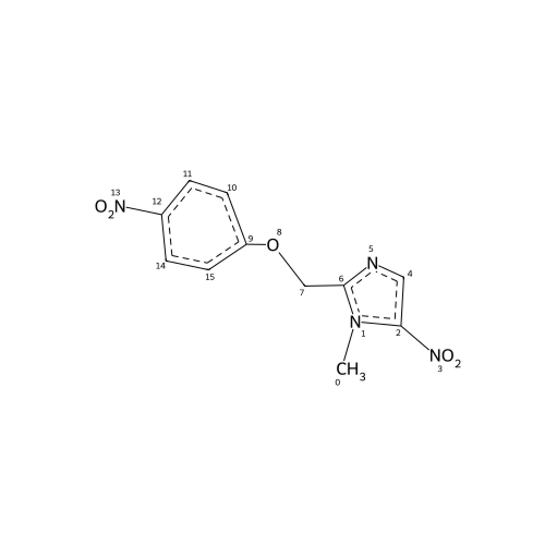 Cn1c([N+](=O)[O-])cnc1COc1ccc([N+](=O)[O-])cc1